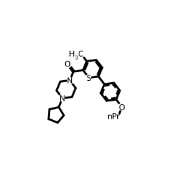 CCCOc1ccc(C2=C=CC(C)=C(C(=O)N3CCN(C4CCCC4)CC3)S2)cc1